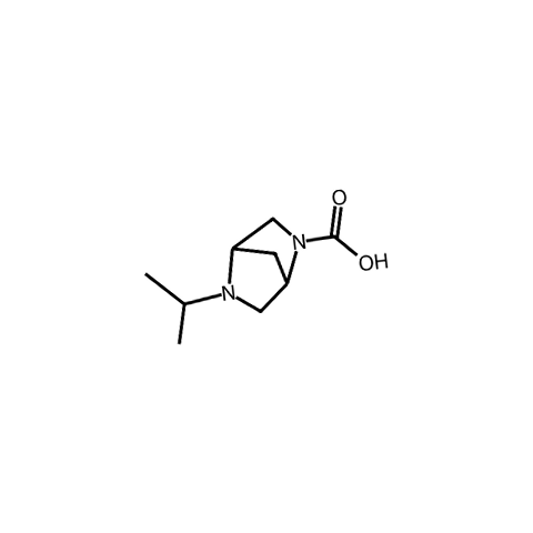 CC(C)N1CC2CC1CN2C(=O)O